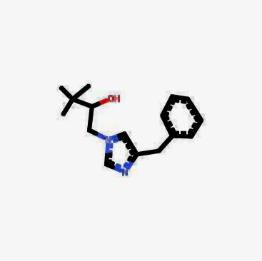 CC(C)(C)C(O)Cn1cnc(Cc2ccccc2)c1